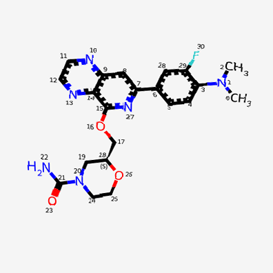 CN(C)c1ccc(-c2cc3nccnc3c(OC[C@@H]3CN(C(N)=O)CCO3)n2)cc1F